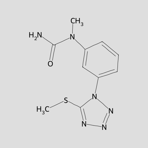 CSc1nnnn1-c1cccc(N(C)C(N)=O)c1